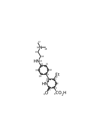 CCc1cc(C(=O)O)c(=O)[nH]c1-c1ccc(NCCN(C)C)cc1